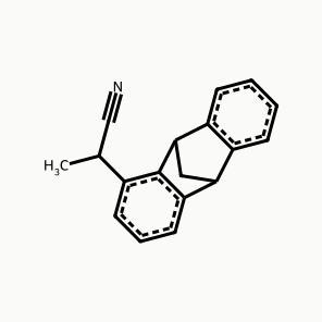 CC(C#N)c1cccc2c1C1CC2c2ccccc21